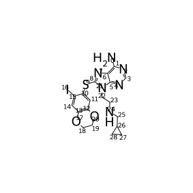 Nc1ncnc2c1nc(Sc1cc3c(cc1I)OCCO3)n2CCNCC1CC1